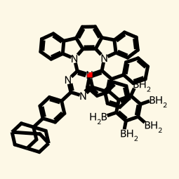 Bc1c(B)c(B)c(-c2cccc(-n3c4ccccc4c4ccc5c6ccccc6n(-c6nc(-c7ccccc7)nc(-c7ccc(C89CC%10CC(CC(C%10)C8)C9)cc7)n6)c5c43)c2-c2ccccc2)c(B)c1B